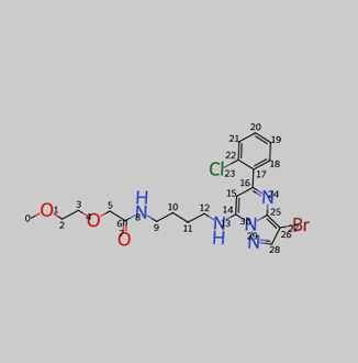 COCCOCC(=O)NCCCCNc1cc(-c2ccccc2Cl)nc2c(Br)cnn12